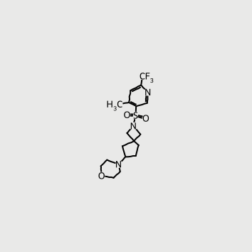 Cc1cc(C(F)(F)F)ncc1S(=O)(=O)N1CC2(CCC(N3CCOCC3)C2)C1